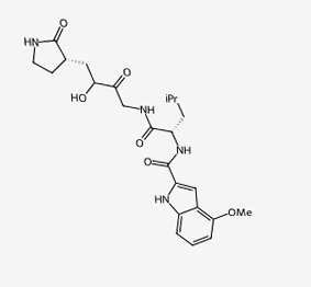 COc1cccc2[nH]c(C(=O)N[C@@H](CC(C)C)C(=O)NCC(=O)C(O)C[C@@H]3CCNC3=O)cc12